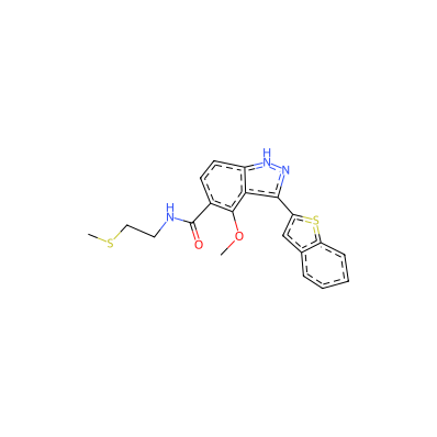 COc1c(C(=O)NCCSC)ccc2[nH]nc(-c3cc4ccccc4s3)c12